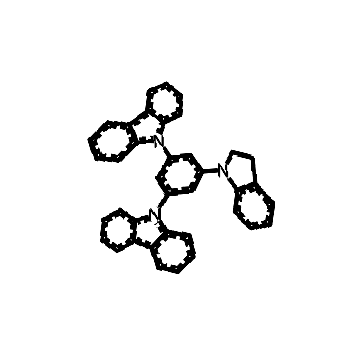 c1ccc2c(c1)CCN2c1cc(-n2c3ccccc3c3ccccc32)cc(-n2c3ccccc3c3ccccc32)c1